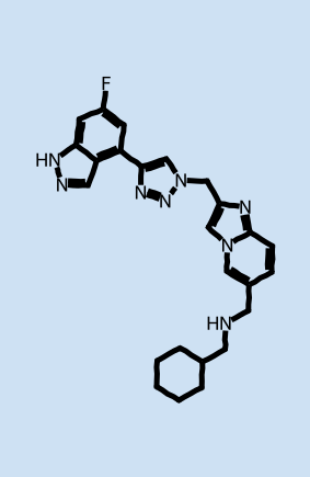 Fc1cc(-c2cn(Cc3cn4cc(CNCC5CCCCC5)ccc4n3)nn2)c2cn[nH]c2c1